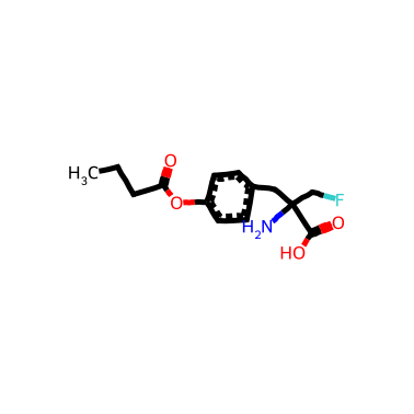 CCCC(=O)Oc1ccc(CC(N)(CF)C(=O)O)cc1